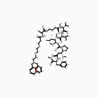 CC[C@H](C)[C@@H]([C@@H](CC(=O)N1CCC[C@H]1[C@H](OC)[C@@H](C)C(=O)N[C@@H](Cc1ccccc1)C(=O)OC)OC)N(C)C(=O)[C@@H](NC(=O)[C@H](C(C)C)N(C)C(=O)CCCNC(=O)C(C)NC(=O)CCOCCOCCN(Cc1ccccc1)Cc1ccccc1)C(C)C